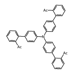 CC(=O)c1ccccc1-c1ccc(N(c2ccc(-c3ccccc3C(C)=O)cc2)c2ccc(-c3ccccc3C(C)=O)cc2)cc1